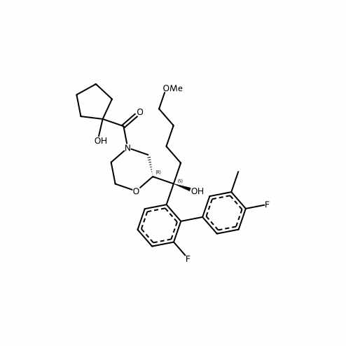 COCCCC[C@](O)(c1cccc(F)c1-c1ccc(F)c(C)c1)[C@H]1CN(C(=O)C2(O)CCCC2)CCO1